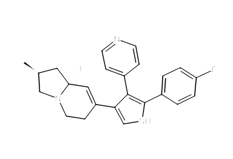 Fc1ccc(-c2[nH]cc(C3=C[C@@H]4C[C@H](Cl)CN4CC3)c2-c2ccncc2)cc1